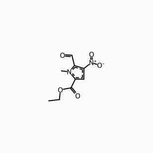 CCOC(=O)c1cc([N+](=O)[O-])c(C=O)n1C